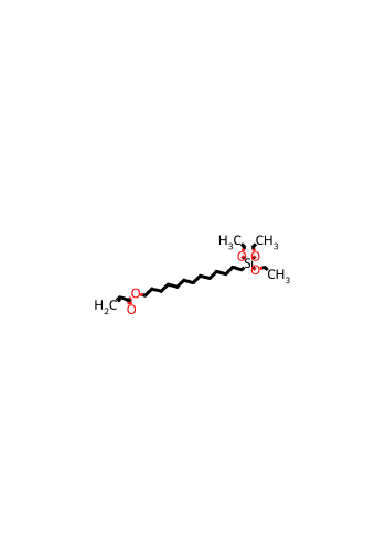 C=CC(=O)OCCCCCCCCCCCCC[Si](OCC)(OCC)OCC